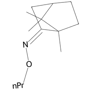 CCCO/N=C1/CC2CCC1(C)C2(C)C